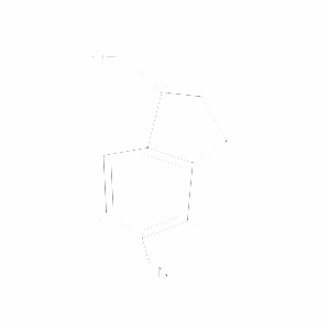 N#Cc1ccc2c(c1)CCC2C=O